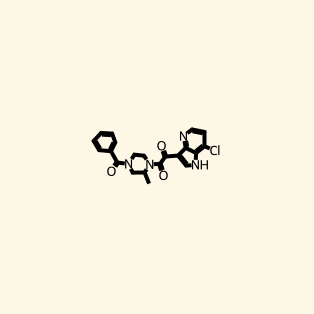 CC1CN(C(=O)c2ccccc2)CCN1C(=O)C(=O)c1c[nH]c2c(Cl)ccnc12